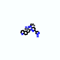 C=C(Cc1ccc2ncccc2c1)N1N=C(c2cn[nH]c2)C=CC1N(C)N